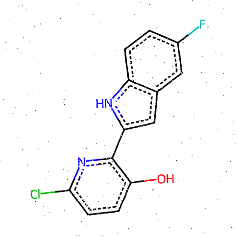 Oc1ccc(Cl)nc1-c1cc2cc(F)ccc2[nH]1